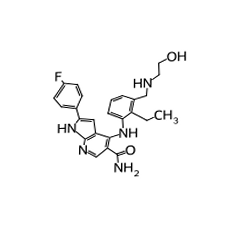 CCc1c(CNCCO)cccc1Nc1c(C(N)=O)cnc2[nH]c(-c3ccc(F)cc3)cc12